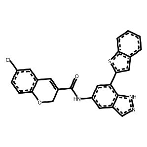 O=C(Nc1cc(-c2cc3ccccc3s2)c2[nH]ncc2c1)C1=Cc2cc(Cl)ccc2OC1